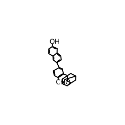 O=Cc1ccc(-c2ccc3cc(O)ccc3c2)cc1C12CC3CC(CC(C3)C1)C2